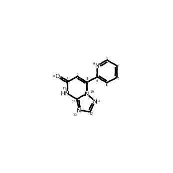 O=c1cc(-c2ccccn2)n2ncnc2[nH]1